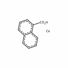 O=C(O)c1cccc2ccccc12.[Ce]